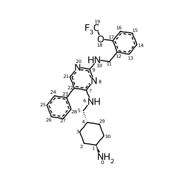 N[C@H]1CC[C@H](CNc2nc(NCc3ccccc3OC(F)(F)F)ncc2-c2ccccc2)CC1